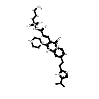 CC(C)c1csc(CCc2ccn3c(=O)c(/C=C/C(=O)NS(=O)(=O)CCCN)c(N4CCOCC4)nc3c2)n1